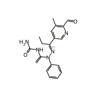 C=C(NC(N)=O)N(/N=C(\CC)c1cnc(C=O)c(C)c1)c1ccccc1